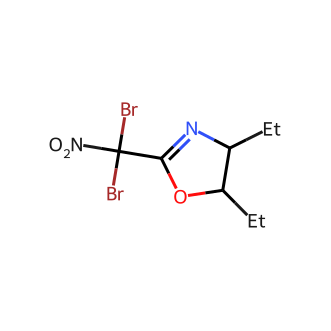 CCC1N=C(C(Br)(Br)[N+](=O)[O-])OC1CC